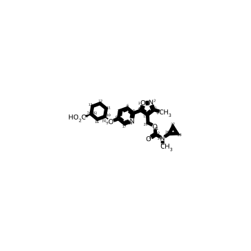 Cc1noc(-c2ccc(O[C@H]3CCC[C@H](C(=O)O)C3)cn2)c1COC(=O)N(C)C1CC1